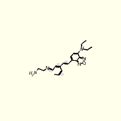 C\C=C/C(/C=C/c1ccc(N(CC)CC)c2nonc12)=C\C=N\CCN